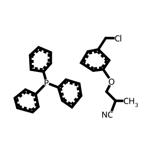 CC(C#N)COc1cccc(CCl)c1.c1ccc(P(c2ccccc2)c2ccccc2)cc1